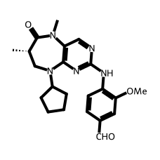 COc1cc(C=O)ccc1Nc1ncc2c(n1)N(C1CCCC1)C[C@H](C)C(=O)N2C